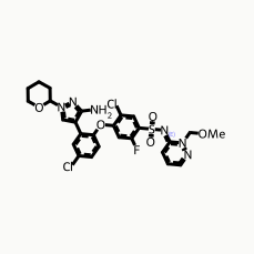 COCn1nccc/c1=N\S(=O)(=O)c1cc(Cl)c(Oc2ccc(Cl)cc2-c2cn(C3CCCCO3)nc2N)cc1F